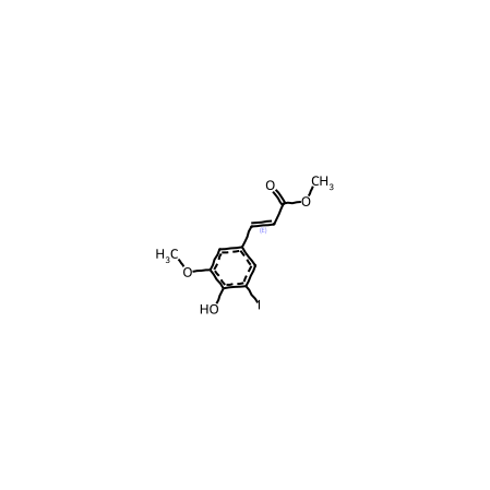 COC(=O)/C=C/c1cc(I)c(O)c(OC)c1